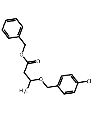 CC(CC(=O)OCc1ccccc1)OCc1ccc(Cl)cc1